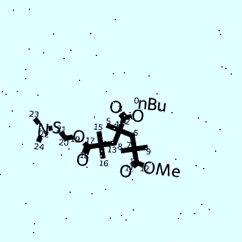 CCCCOC(=O)C(C)(CC(C)(C)C(=O)OC)CC(C)(C)C(=O)OCSN(C)C